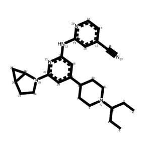 CCC(CC)N1CCC(c2cc(Nc3cc(C#N)ccn3)nc(N3CCC4CC43)c2)CC1